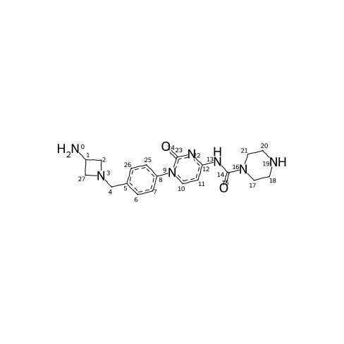 NC1CN(Cc2ccc(-n3ccc(NC(=O)N4CCNCC4)nc3=O)cc2)C1